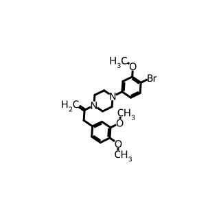 C=C(Cc1ccc(OC)c(OC)c1)N1CCN(c2ccc(Br)c(OC)c2)CC1